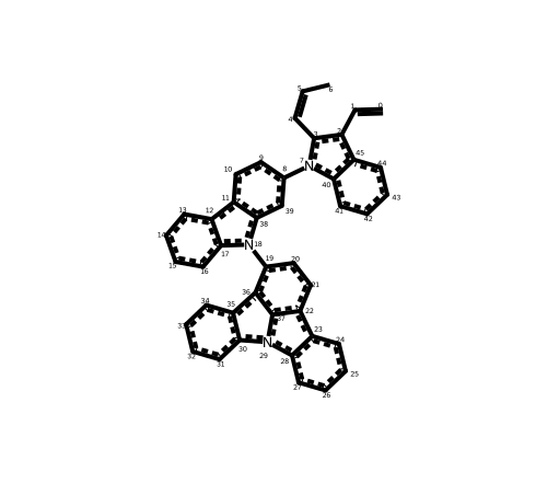 C=Cc1c(/C=C\C)n(-c2ccc3c4ccccc4n(-c4ccc5c6ccccc6n6c7ccccc7c4c56)c3c2)c2ccccc12